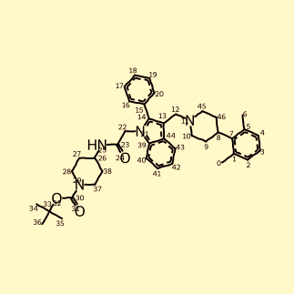 Cc1cccc(C)c1C1CCN(Cc2c(-c3ccccc3)n(CC(=O)NC3CCN(C(=O)OC(C)(C)C)CC3)c3ccccc23)CC1